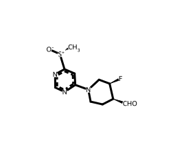 C[S@@+]([O-])c1cc(N2CC[C@H](C=O)[C@H](F)C2)ncn1